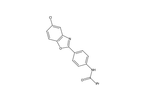 CC(C)C(=O)Nc1ccc(-c2nc3cc(Cl)ccc3o2)cc1